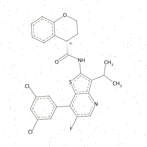 CC(C)c1c(NC(=O)[C@H]2CCOc3ccccc32)sc2c(-c3cc(Cl)cc(Cl)c3)c(F)cnc12